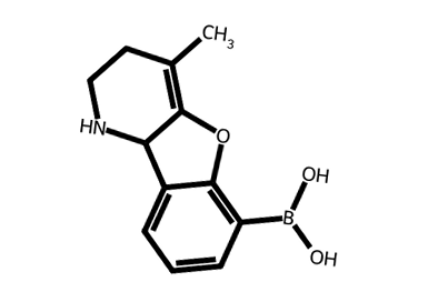 CC1=C2Oc3c(B(O)O)cccc3C2NCC1